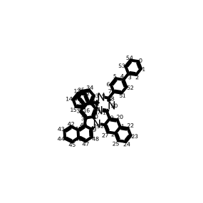 c1ccc(-c2ccc(-c3nc(-c4ccccc4)nc(-c4cc5ccccc5cc4-n4c5cc6ccccc6cc5c5c6ccccc6ccc54)n3)cc2)cc1